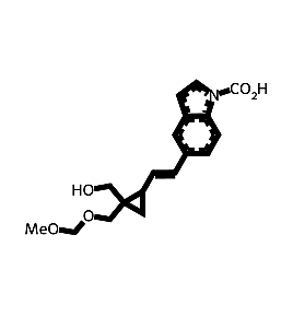 COCOCC1(CO)CC1C=Cc1ccc2c(ccn2C(=O)O)c1